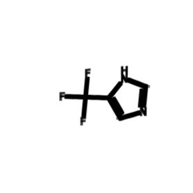 FC(F)(F)c1[c]n[c][nH]1